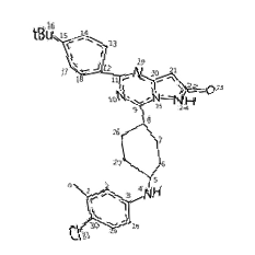 Cc1cc(NC2CCC(c3nc(-c4ccc(C(C)(C)C)cc4)nc4cc(=O)[nH]n34)CC2)ccc1Cl